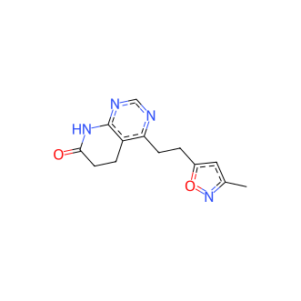 Cc1cc(CCc2ncnc3c2CCC(=O)N3)on1